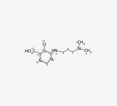 CN(C)CCCNc1ncnc(C(=O)O)c1Cl